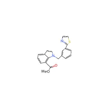 COC(=O)c1cccc2ccn(Cc3cccc(-c4nccs4)c3)c12